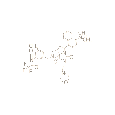 COc1ccc(CN2CC3CC(c4ccc(N(C)C)c5ccccc45)N4C(=O)N(CCN5CCOCC5)C(=O)C34C2)cc1NC(=O)C(F)(F)F